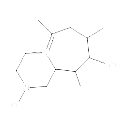 CCCC1C(C)CC(C)=[N+]2CCN(C(C)C)CC2C1CC